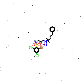 CN(C[C@H](O)CNC(C)(C)CCCc1ccccc1)S(=O)(=O)c1c(Cl)cc(Cl)cc1Br